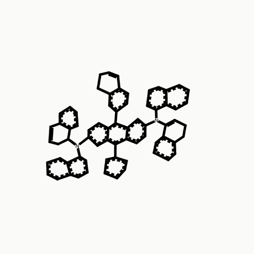 C1=Cc2ccc(-c3c4ccc(N(c5cccc6ccccc56)C5CC=Cc6ccccc65)cc4c(-c4ccccc4)c4ccc(N(C5=CCCc6ccccc65)c5cccc6ccccc56)cc34)cc2CC1